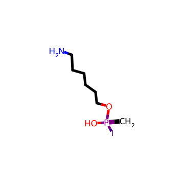 C=P(O)(I)OCCCCCCN